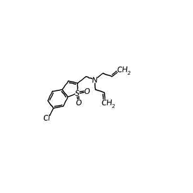 C=CCN(CC=C)CC1=Cc2ccc(Cl)cc2S1(=O)=O